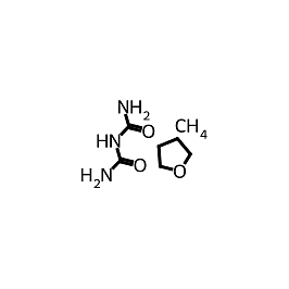 C.C1CCOC1.NC(=O)NC(N)=O